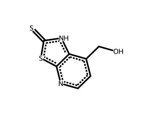 OCc1ccnc2sc(=S)[nH]c12